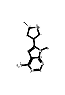 C[C@H]1CC(c2cc3c(N)ncnc3n2C)CN1